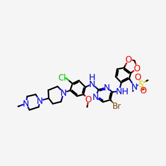 COc1cc(N2CCC(N3CCN(C)CC3)CC2)c(Cl)cc1Nc1ncc(Br)c(Nc2ccc3c(c2N(C)S(C)(=O)=O)OCO3)n1